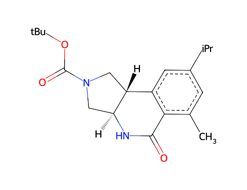 Cc1cc(C(C)C)cc2c1C(=O)N[C@H]1CN(C(=O)OC(C)(C)C)C[C@H]21